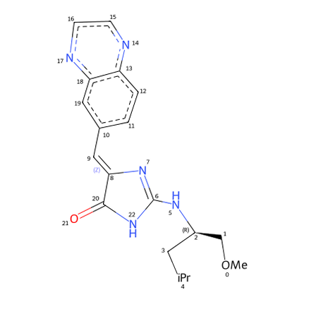 COC[C@@H](CC(C)C)NC1=N/C(=C\c2ccc3nccnc3c2)C(=O)N1